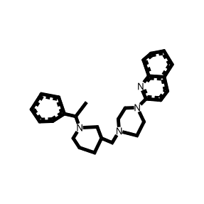 CC(c1ccccc1)N1CCCC(CN2CCN(c3ccc4ccccc4n3)CC2)C1